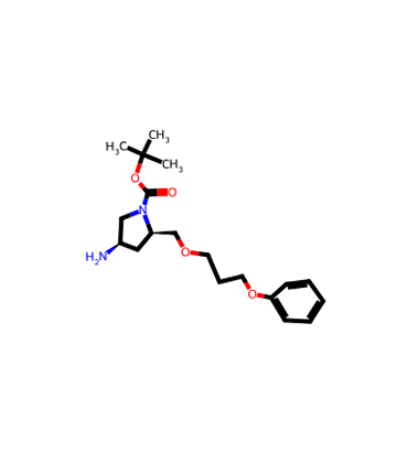 CC(C)(C)OC(=O)N1C[C@H](N)C[C@@H]1COCCCOc1ccccc1